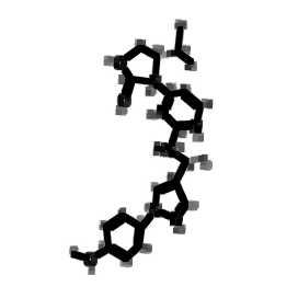 COc1ccc(-n2cc([C@@H](C)Nc3nccc(N4C(=O)OC[C@@H]4C(C)C)n3)cn2)cc1